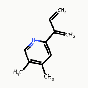 C=CC(=C)c1cc(C)c(C)cn1